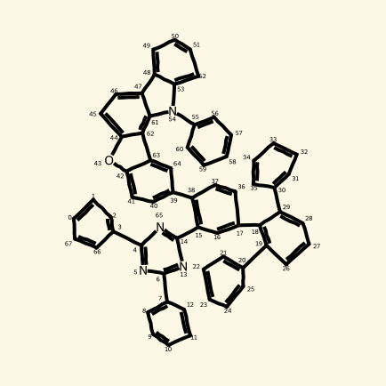 c1ccc(-c2nc(-c3ccccc3)nc(-c3cc(-c4c(-c5ccccc5)cccc4-c4ccccc4)ccc3-c3ccc4oc5ccc6c7ccccc7n(-c7ccccc7)c6c5c4c3)n2)cc1